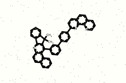 CC1(C)c2ccccc2-c2nc3ccc4ccccc4c3c(-c3cccc(-c4ccc(-c5ccc6ccc7cccnc7c6n5)cc4)c3)c21